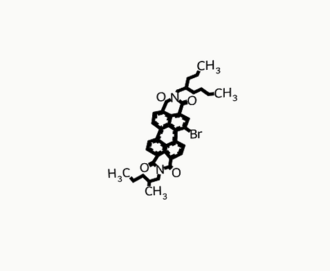 CCCCC(CCC)CN1C(=O)c2ccc3c4ccc5c6c(ccc(c7c(Br)cc(c2c37)C1=O)c64)C(=O)N(CC(C)CCC)C5=O